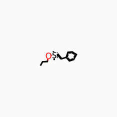 CCCO[Si](C)(C)C=Cc1ccccc1